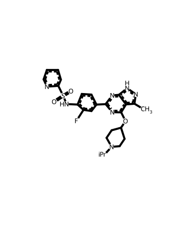 Cc1n[nH]c2nc(-c3ccc(NS(=O)(=O)c4ccccn4)c(F)c3)nc(OC3CCN(C(C)C)CC3)c12